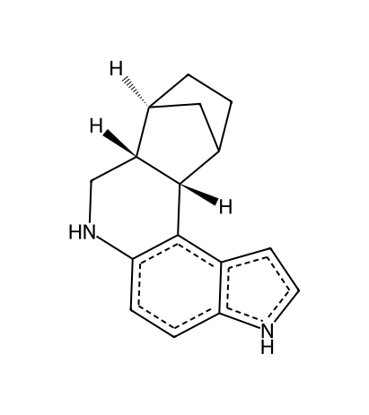 c1cc2c3c(ccc2[nH]1)NC[C@@H]1[C@H]2CCC(C2)[C@H]31